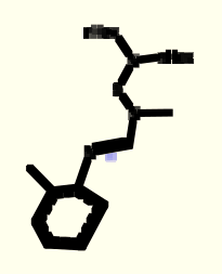 CCCCCCN(CCCCCC)SN(C)/C=N/c1ccccc1C